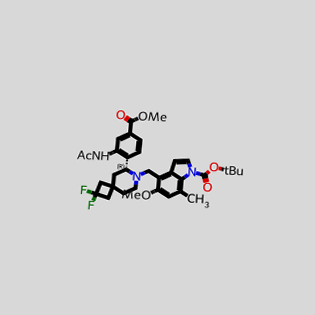 COC(=O)c1ccc([C@H]2CC3(CCN2Cc2c(OC)cc(C)c4c2ccn4C(=O)OC(C)(C)C)CC(F)(F)C3)c(NC(C)=O)c1